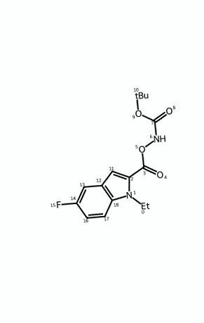 CCn1c(C(=O)ONC(=O)OC(C)(C)C)cc2cc(F)ccc21